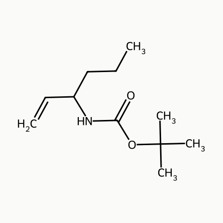 C=CC(CCC)NC(=O)OC(C)(C)C